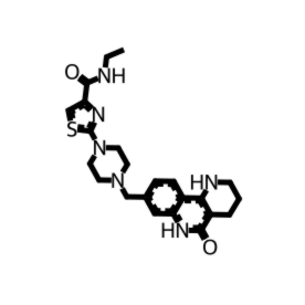 CCNC(=O)c1csc(N2CCN(Cc3ccc4c5c(c(=O)[nH]c4c3)CCCN5)CC2)n1